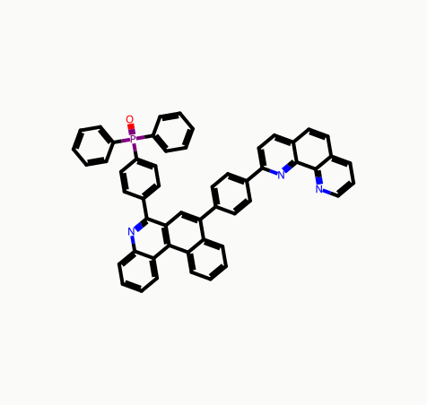 O=P(c1ccccc1)(c1ccccc1)c1ccc(-c2nc3ccccc3c3c2cc(-c2ccc(-c4ccc5ccc6cccnc6c5n4)cc2)c2ccccc23)cc1